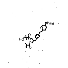 C=C(C)C(=O)OCC(COC(=O)C(C)(C)CO)Cc1ccc(CCC2CCC(CCCCC)CO2)cc1